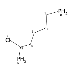 PCCCCC(P)Cl